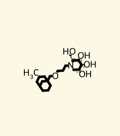 CC1CC2CCCC(COCCCN3C[C@H](O)[C@@H](O)[C@H](O)[C@H]3CO)(C1)C2